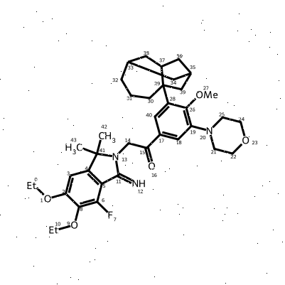 CCOc1cc2c(c(F)c1OCC)C(=N)N(CC(=O)c1cc(N3CCOCC3)c(OC)c(C34CCCC5CC(CC3C5)C4)c1)C2(C)C